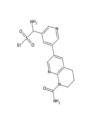 CCS(=O)(=O)C(N)c1cncc(-c2cnc3c(c2)CCCN3C(N)=O)c1